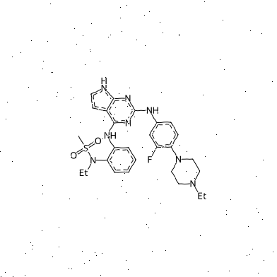 CCN1CCN(c2ccc(Nc3nc(Nc4ccccc4N(CC)S(C)(=O)=O)c4cc[nH]c4n3)cc2F)CC1